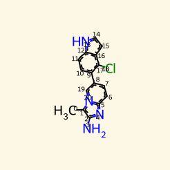 Cc1c(N)nc2ccc(-c3ccc4[nH]ccc4c3Cl)cn12